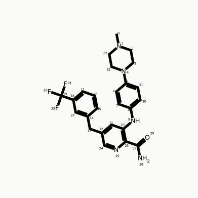 CN1CCN(c2ccc(Nc3cc(Cc4cccc(C(F)(F)F)c4)cnc3C(N)=O)cc2)CC1